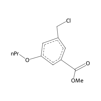 CCCOc1cc(CCl)cc(C(=O)OC)c1